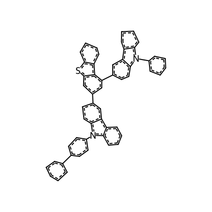 c1ccc(-c2ccc(-n3c4ccccc4c4cc(-c5cc(-c6ccc7c(c6)c6ccccc6n7-c6ccccc6)c6c(c5)sc5ccccc56)ccc43)cc2)cc1